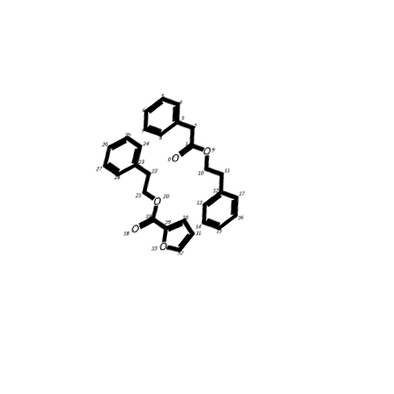 O=C(Cc1ccccc1)OCCc1ccccc1.O=C(OCCc1ccccc1)c1ccco1